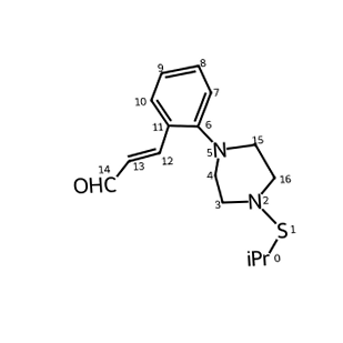 CC(C)SN1CCN(c2ccccc2/C=C/C=O)CC1